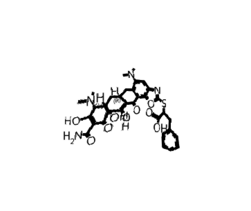 CN(C)c1cc2nc(SC(Cc3ccccc3)C(=O)O)oc2c2c1C[C@H]1C[C@H]3[C@H](N(C)C)C(O)=C(C(N)=O)C(=O)[C@@]3(O)C(O)=C1C2=O